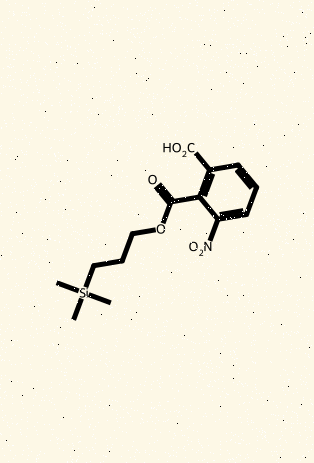 C[Si](C)(C)CCCOC(=O)c1c(C(=O)O)cccc1[N+](=O)[O-]